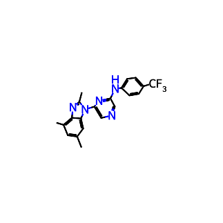 Cc1cc(C)c2nc(C)n(-c3cncc(Nc4ccc(C(F)(F)F)cc4)n3)c2c1